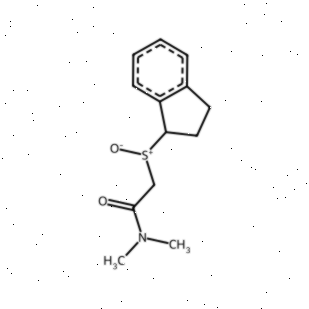 CN(C)C(=O)C[S+]([O-])C1CCc2ccccc21